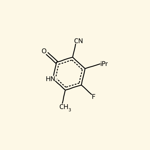 Cc1[nH]c(=O)c(C#N)c(C(C)C)c1F